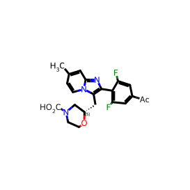 CC(=O)c1cc(F)c(-c2nc3cc(C)ccn3c2C[C@H]2CN(C(=O)O)CCO2)c(F)c1